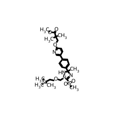 COC(=O)C(C)(C)COc1ccc(-c2ccc(C3(C)N=C(S(C)(=O)=O)N(COCC[Si](C)(C)C)N3)cc2)cn1